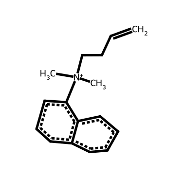 C=CCC[N+](C)(C)c1cccc2ccccc12